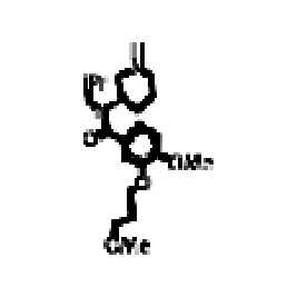 COCCCOc1cc(C(=O)N(CC(C)C)[C@@H]2CCCNC2)ccc1OC